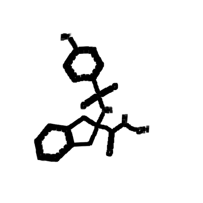 O=C(NO)C1(NS(=O)(=O)c2ccc(Br)cc2)Cc2ccccc2C1